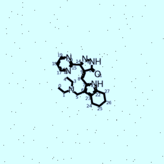 CCN(CC)Cc1c(C=C2C(=O)NN=C2c2ncccn2)[nH]c2c1CCCC2